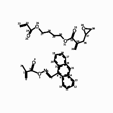 C=C(C)C(=O)ON=Cc1c2ccccc2cc2ccccc12.C=CC(=O)OCCCCOC(=O)C(=C)CC1CO1